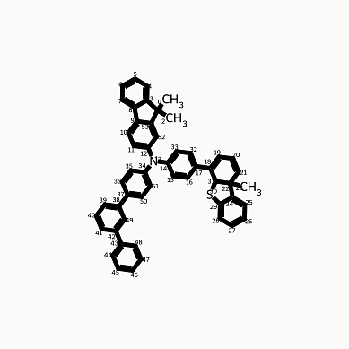 CC1(C)c2ccccc2-c2ccc(N(c3ccc(C4=CC=CC5(C)c6ccccc6SC45)cc3)c3ccc(-c4cccc(-c5ccccc5)c4)cc3)cc21